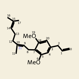 C=CCc1cc(OC)c(C/C=C(\C)CCC=C(C)C)c(OC)c1